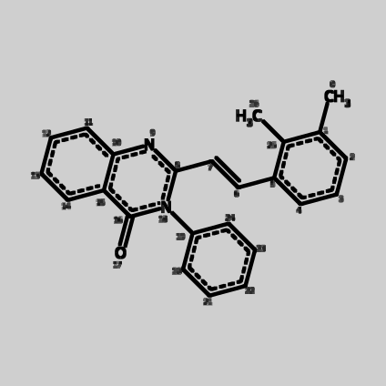 Cc1cccc(/C=C/c2nc3ccccc3c(=O)n2-c2ccccc2)c1C